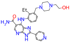 CCc1c(CN2CCN(CCO)CC2)cccc1Nc1c(C(N)=O)cnc2[nH]c(-c3ccncc3)nc12